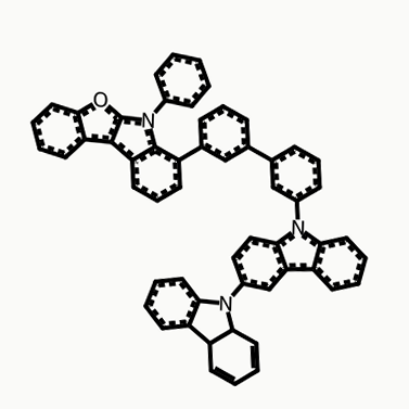 C1=CC2c3ccccc3N(c3ccc4c(c3)c3ccccc3n4-c3cccc(-c4cccc(-c5cccc6c7c8ccccc8oc7n(-c7ccccc7)c56)c4)c3)C2C=C1